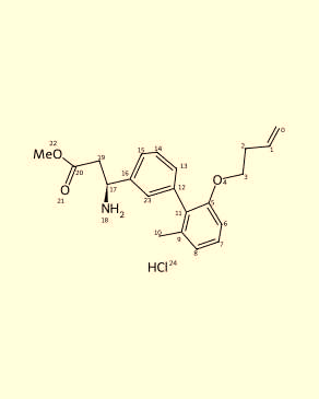 C=CCCOc1cccc(C)c1-c1cccc([C@@H](N)CC(=O)OC)c1.Cl